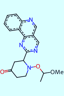 COC(C)ON1CCC(=O)CC1c1ncc2cnc3ccccc3c2n1